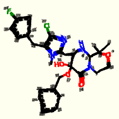 Cn1c(C2NC3N(CCOC3(C)C)C(=O)C2(O)OCc2ccccc2)nc(Cl)c1Cc1ccc(F)cc1